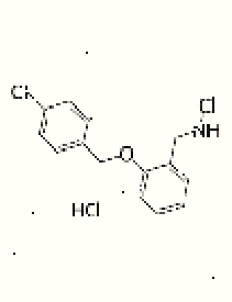 Cl.ClNCc1ccccc1OCc1ccc(Cl)cc1